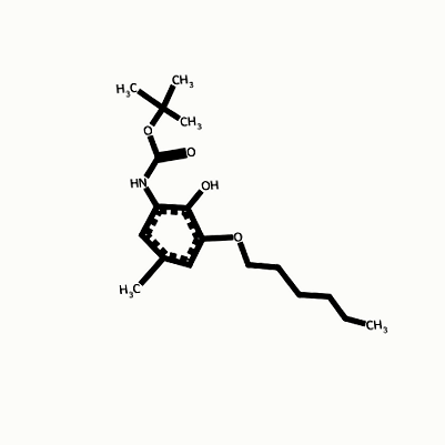 CCCCCCOc1cc(C)cc(NC(=O)OC(C)(C)C)c1O